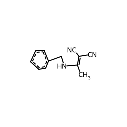 CC(NCc1ccccc1)=C(C#N)C#N